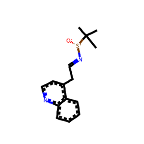 CC(C)(C)[S@@+]([O-])N=CCc1ccnc2ccccc12